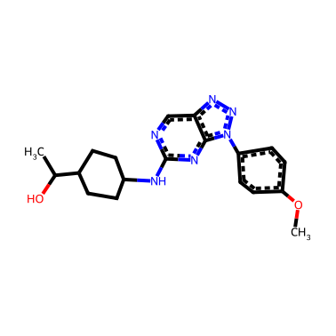 COc1ccc(-n2nnc3cnc(NC4CCC(C(C)O)CC4)nc32)cc1